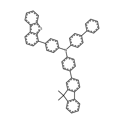 CC1(C)c2ccccc2-c2ccc(-c3ccc(N(c4ccc(-c5ccccc5)cc4)c4ccc(-c5cccc6c5sc5ccccc56)cc4)cc3)cc21